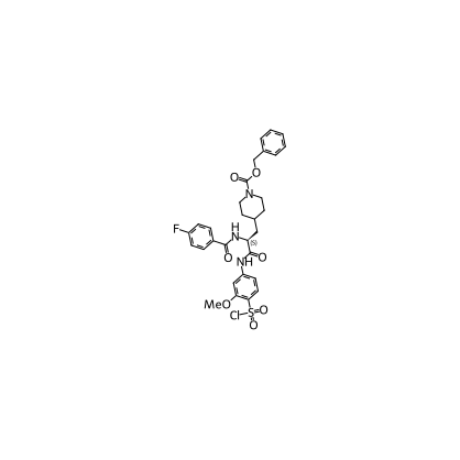 COc1cc(NC(=O)[C@H](CC2CCN(C(=O)OCc3ccccc3)CC2)NC(=O)c2ccc(F)cc2)ccc1S(=O)(=O)Cl